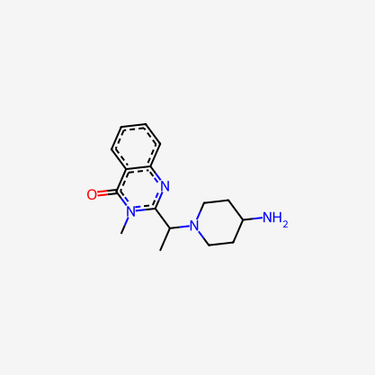 CC(c1nc2ccccc2c(=O)n1C)N1CCC(N)CC1